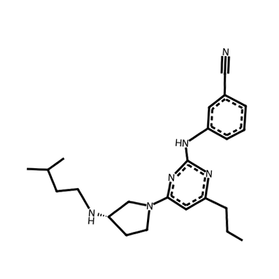 CCCc1cc(N2CC[C@H](NCCC(C)C)C2)nc(Nc2cccc(C#N)c2)n1